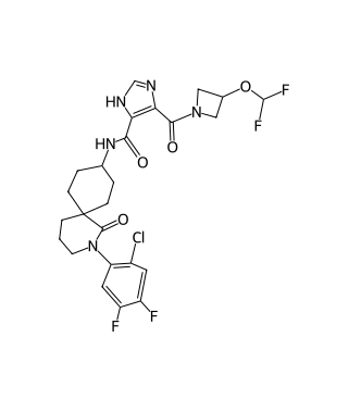 O=C(NC1CCC2(CCCN(c3cc(F)c(F)cc3Cl)C2=O)CC1)c1[nH]cnc1C(=O)N1CC(OC(F)F)C1